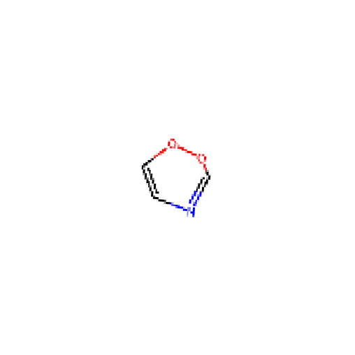 [C]1=NC=COO1